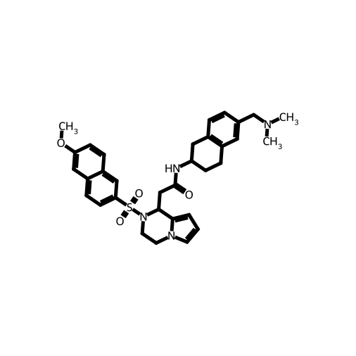 COc1ccc2cc(S(=O)(=O)N3CCn4cccc4C3CC(=O)NC3CCc4cc(CN(C)C)ccc4C3)ccc2c1